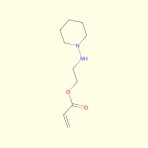 C=CC(=O)OCCNN1CCCCC1